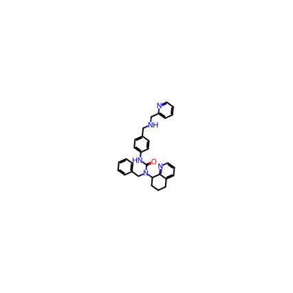 O=C(Nc1ccc(CNCc2ccccn2)cc1)N(Cc1ccccc1)C1CCCc2cccnc21